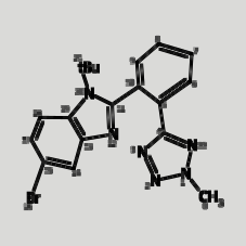 Cn1nnc(-c2ccccc2-c2nc3cc(Br)ccc3n2C(C)(C)C)n1